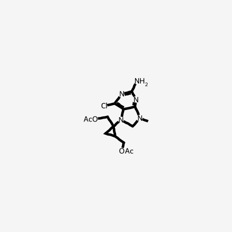 CC(=O)OCC1CC1(COC(C)=O)N1CN(C)c2nc(N)nc(Cl)c21